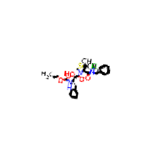 C=CCOC(=O)N[C@@H](Cc1ccccc1)[C@H](O)C(=O)N1CSC(C)(C)C1C(=O)N(Cl)Cc1ccccc1